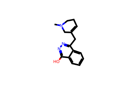 CN1CCC=C(Cc2nnc(O)c3ccccc23)C1